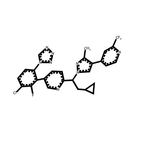 Cc1nn(C(CC2CC2)c2ccc(-c3c(-n4cnnn4)ccc(Cl)c3F)cn2)cc1-c1ccnc(C(F)(F)F)c1